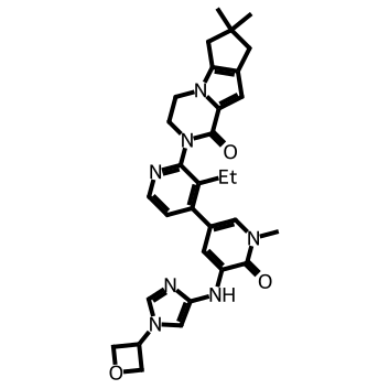 CCc1c(-c2cc(Nc3cn(C4COC4)cn3)c(=O)n(C)c2)ccnc1N1CCn2c(cc3c2CC(C)(C)C3)C1=O